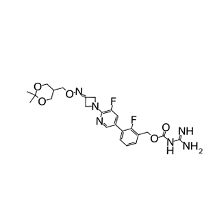 CC1(C)OCC(CON=C2CN(c3ncc(-c4cccc(COC(=O)NC(=N)N)c4F)cc3F)C2)CO1